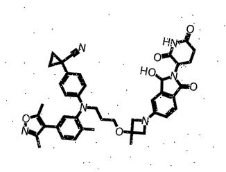 Cc1ccc(-c2c(C)noc2C)cc1N(CCCOC1(C)CN(c2ccc3c(c2)C(O)N(C2CCC(=O)NC2=O)C3=O)C1)c1ccc(C2(C#N)CC2)cc1